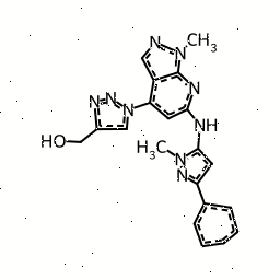 Cn1nc(-c2ccccc2)cc1Nc1cc(-n2cc(CO)nn2)c2cnn(C)c2n1